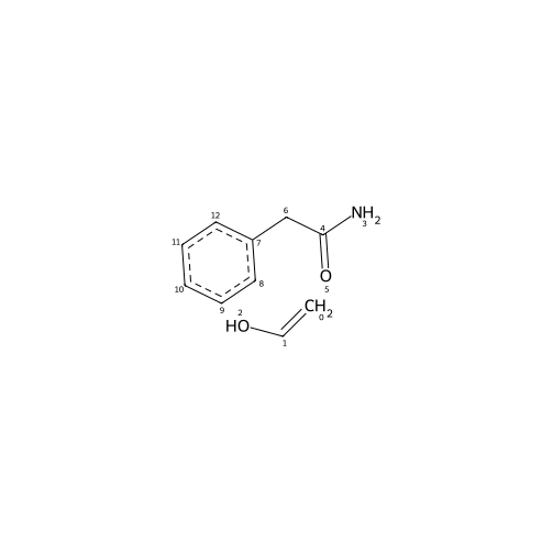 C=CO.NC(=O)Cc1ccccc1